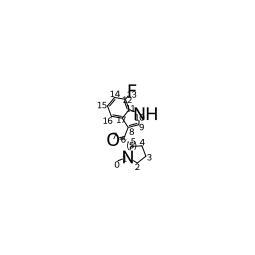 CN1CCC[C@H]1C(=O)c1c[nH]c2c(F)cccc12